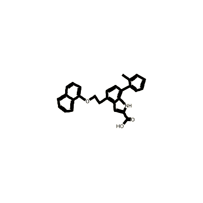 Cc1ccccc1-c1ccc(CCOc2cccc3ccccc23)c2cc(C(=O)O)[nH]c12